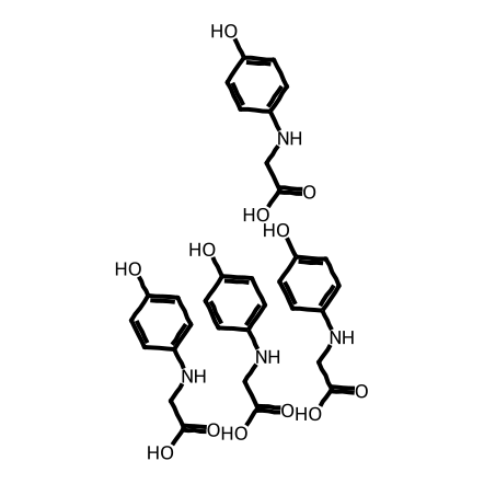 O=C(O)CNc1ccc(O)cc1.O=C(O)CNc1ccc(O)cc1.O=C(O)CNc1ccc(O)cc1.O=C(O)CNc1ccc(O)cc1